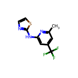 Cc1cc(C(F)(F)F)cc(Nc2nccs2)n1